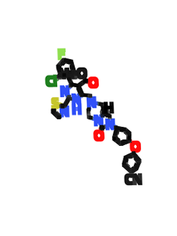 COC(=O)C1=C(CN2CCN3C(=O)N(c4ccc(Oc5ccc(C#N)cc5)cc4)C[C@@H]3C2)NC(c2nccs2)=NC1c1ccc(F)cc1Cl